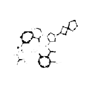 C=NC(=N)NS(=O)(=O)c1cccc(C(=O)N(CC)[C@@H]2CN(C3CC4(CCCC4)C3)C[C@H]2OC(C)c2c(C)cccc2C)c1